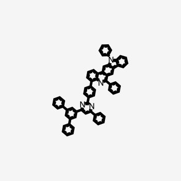 c1ccc(-c2cc(-c3ccccc3)cc(-c3cc(-c4ccccc4)nc(-c4ccc(-c5cccc6c5nc(-c5ccccc5)c5cc7c8ccccc8n(-c8ccccc8)c7cc56)cc4)n3)c2)cc1